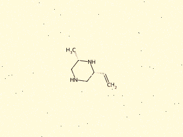 C=C[C@@H]1CNC[C@H](C)N1